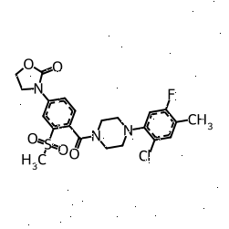 Cc1cc(Cl)c(N2CCN(C(=O)c3ccc(N4CCOC4=O)cc3S(C)(=O)=O)CC2)cc1F